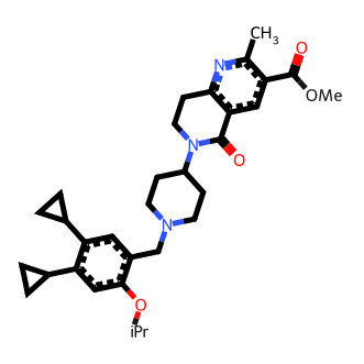 COC(=O)c1cc2c(nc1C)CCN(C1CCN(Cc3cc(C4CC4)c(C4CC4)cc3OC(C)C)CC1)C2=O